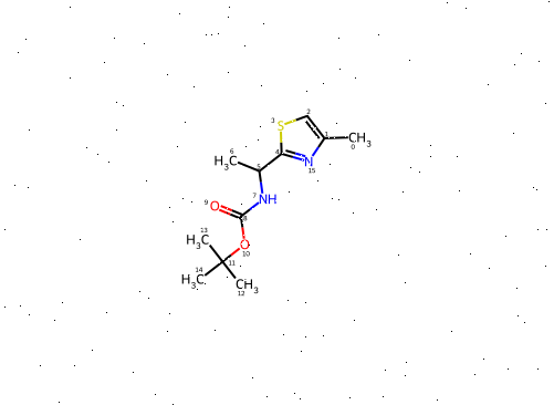 Cc1csc(C(C)NC(=O)OC(C)(C)C)n1